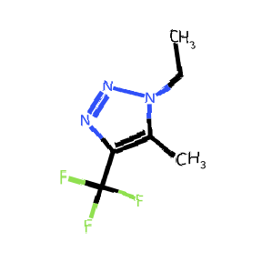 CCn1nnc(C(F)(F)F)c1C